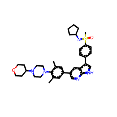 Cc1cc(-c2cnc3[nH]cc(-c4ccc(S(C)(=O)=NC5CCCC5)cc4)c3c2)cc(C)c1N1CCN(C2CCOCC2)CC1